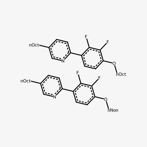 CCCCCCCCCOc1ccc(-c2ccc(CCCCCCCC)cn2)c(F)c1F.CCCCCCCCOc1ccc(-c2ccc(CCCCCCCC)cn2)c(F)c1F